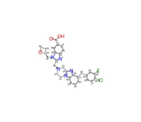 O=C(O)c1ccc2nc(CN3CCn4c(nc5c(Cc6ccc(Cl)c(F)c6)cccc54)C3)n(C[C@@H]3CCO3)c2c1